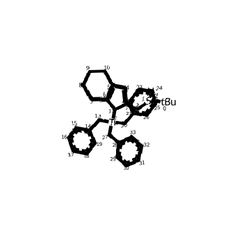 CC(C)(C)[SiH2]CC1=CC2=C(CCCC2)[CH]1[Ti]([CH2]c1ccccc1)([CH2]c1ccccc1)[CH2]c1ccccc1